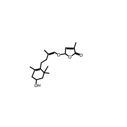 CC1=CC(O/C=C(/C)CCC2=C(C)CC(O)CC2(C)C)OC1=O